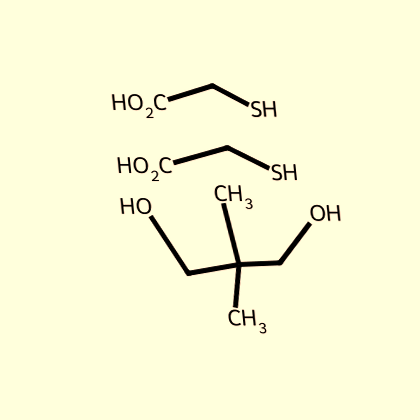 CC(C)(CO)CO.O=C(O)CS.O=C(O)CS